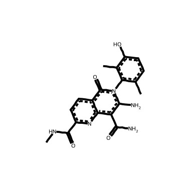 CNC(=O)c1ccc2c(=O)n(-c3c(C)ccc(O)c3C)c(N)c(C(N)=O)c2n1